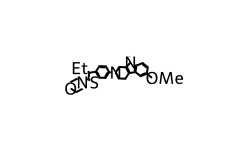 CCC1c2ccc(N3CCc4c(n(C)c5ccc(OC)cc45)C3)cc2SC1N1CCOCC1